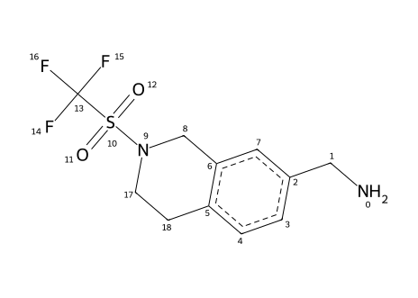 NCc1ccc2c(c1)CN(S(=O)(=O)C(F)(F)F)CC2